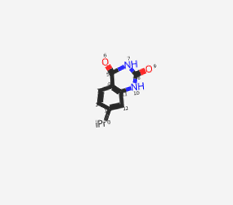 CC(C)c1ccc2c(=O)[nH]c(=O)[nH]c2c1